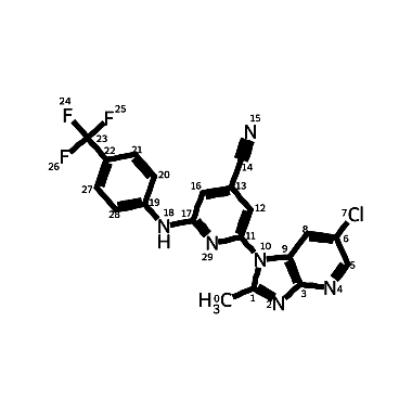 Cc1nc2ncc(Cl)cc2n1-c1cc(C#N)cc(Nc2ccc(C(F)(F)F)cc2)n1